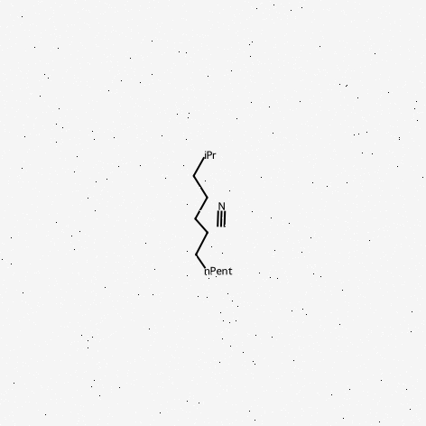 C#N.CCCCCCCCCCC(C)C